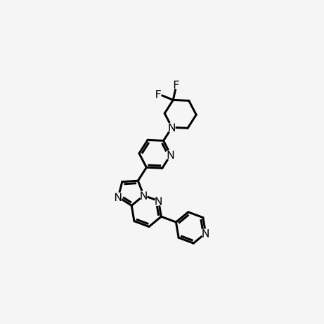 FC1(F)CCCN(c2ccc(-c3cnc4ccc(-c5ccncc5)nn34)cn2)C1